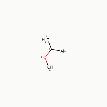 CO[CH](C)[Al]